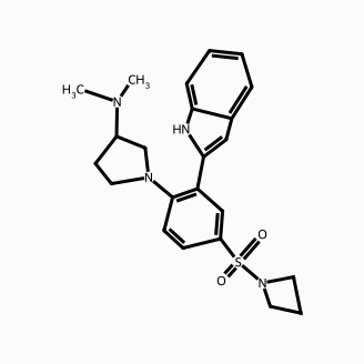 CN(C)C1CCN(c2ccc(S(=O)(=O)N3CCC3)cc2-c2cc3ccccc3[nH]2)C1